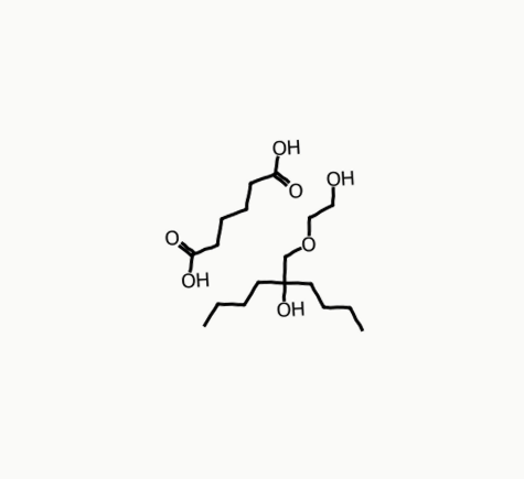 CCCCC(O)(CCCC)COCCO.O=C(O)CCCCC(=O)O